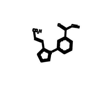 COC(=O)c1cccc(-n2cccc2C=CC(=O)O)c1